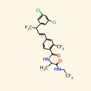 CC(NC(=O)c1ccc(/C=C/C(c2cc(Cl)cc(Cl)c2)C(F)(F)F)cc1C(F)(F)F)C(=O)NCC(F)(F)F